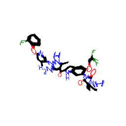 Cc1cc(Oc2ccccc2F)ncc1N1NC(C)C(C(=O)c2cc3cc(OCC(F)F)c(N4C(=O)NC(C)(C)C4=O)cc3[nH]2)=C1N